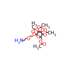 CC(=O)OC[C@H]1O[C@@H](OCCOCCN)[C@H](OC(C)=O)[C@@H](OC(C)=O)[C@@H]1OC(C)=O